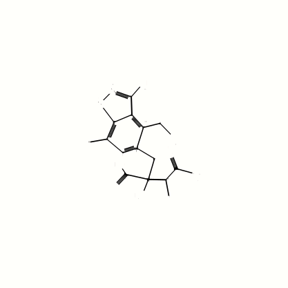 CC(C(=O)O)C(C)(Cc1cc(Cl)c2[nH]nc(Cl)c2c1CO)C(=O)O